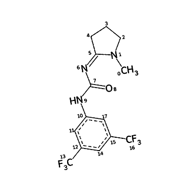 CN1CCCC1=NC(=O)Nc1cc(C(F)(F)F)cc(C(F)(F)F)c1